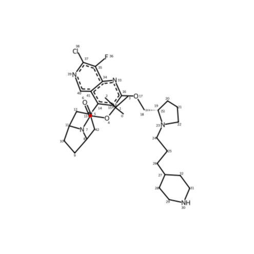 CC(C)(C)OC(=O)N1C2CCC1CN(c1nc(OC[C@@H]3CCCN3CCCC3CCNCC3)nc3c(F)c(Cl)ncc13)C2